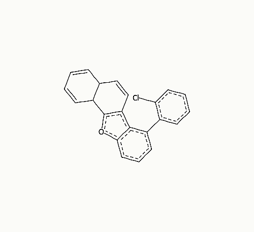 Clc1ccccc1-c1cccc2oc3c(c12)C=CC1C=CC=CC31